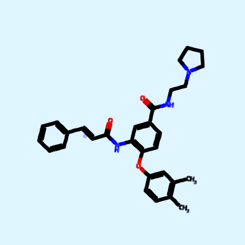 Cc1ccc(Oc2ccc(C(=O)NCCN3CCCC3)cc2NC(=O)/C=C/c2ccccc2)cc1C